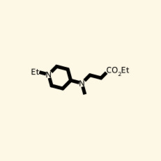 CCOC(=O)CCN(C)C1CCN(CC)CC1